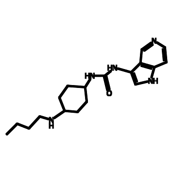 CCCCNC1CCC(NC(=O)Nc2c[nH]c3ccncc23)CC1